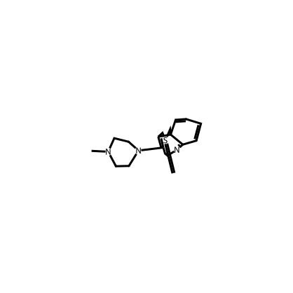 C=S1CC2=C(N3CCN(C)CC3)C=CN=C3C=CC=CC32C1